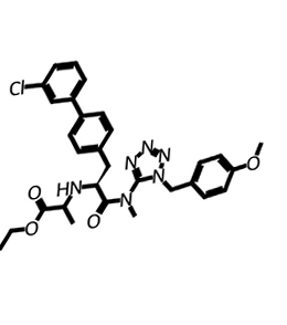 CCOC(=O)C(C)N[C@@H](Cc1ccc(-c2cccc(Cl)c2)cc1)C(=O)N(C)c1nnnn1Cc1ccc(OC)cc1